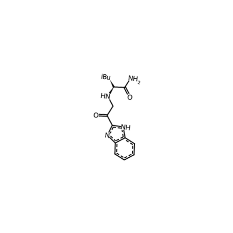 CC[C@H](C)[C@H](NCC(=O)c1nc2ccccc2[nH]1)C(N)=O